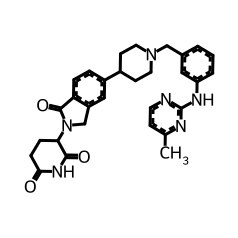 Cc1ccnc(Nc2cccc(CN3CCC(c4ccc5c(c4)CN(C4CCC(=O)NC4=O)C5=O)CC3)c2)n1